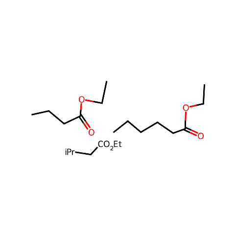 CCCC(=O)OCC.CCCCCC(=O)OCC.CCOC(=O)CC(C)C